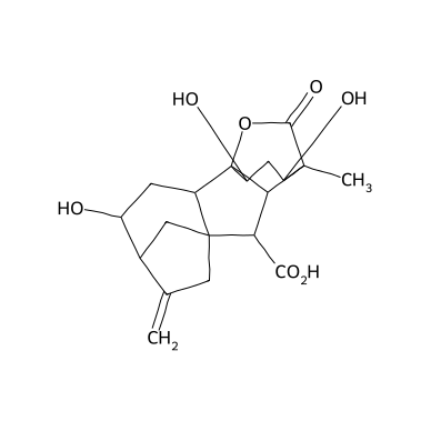 C=C1CC23CC1C(O)CC2C12OC(=O)C(C)(C(O)CC1O)C2C3C(=O)O